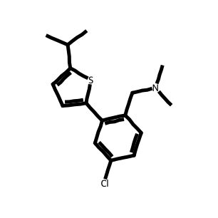 CC(C)c1ccc(-c2cc(Cl)ccc2CN(C)C)s1